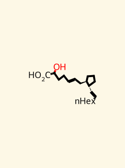 CCCCCCC=C[C@H]1CCC[C@@H]1CC=CCCC(O)C(=O)O